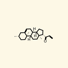 C=CC(=O)[C@H]1CC[C@H]2[C@@H]3CC=C4C[C@@H](C)CC[C@]4(C)[C@H]3CC[C@]12C